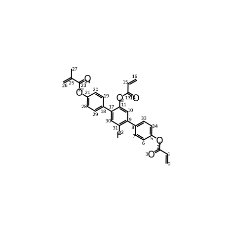 C=CC(=O)Oc1ccc(-c2cc(OC(=O)C=C)c(-c3ccc(OC(=O)C(=C)C)cc3)cc2F)cc1